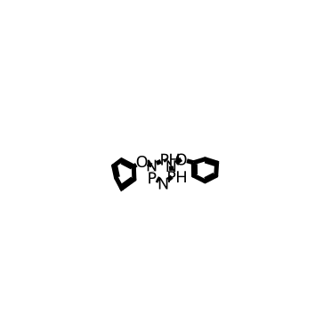 c1ccc(On2pn[pH]n(Oc3ccccc3)[pH]2)cc1